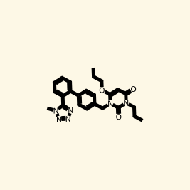 CCCOc1cc(=O)n(CCC)c(=O)n1Cc1ccc(-c2ccccc2-c2nnnn2C)cc1